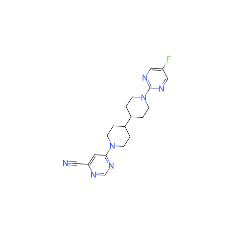 N#Cc1cc(N2CCC(C3CCN(c4ncc(F)cn4)CC3)CC2)ncn1